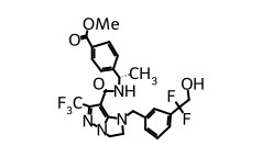 COC(=O)c1ccc([C@H](C)NC(=O)c2c(C(F)(F)F)nn3c2N(Cc2cccc(C(F)(F)CO)c2)CC3)cc1